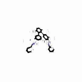 Cc1cc(-c2c(C)ccc([N+](=O)[O-])c2-c2cc(C)c(/N=C/c3ccccn3)c(C)c2)cc(C)c1/N=C/c1ccccn1